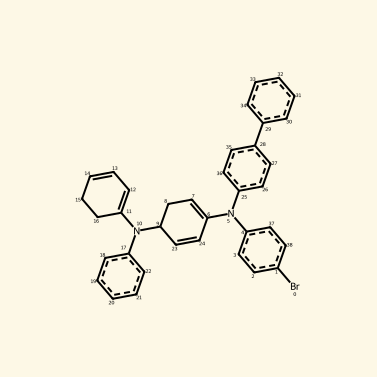 Brc1ccc(N(C2=CCC(N(C3=CC=CCC3)c3ccccc3)C=C2)c2ccc(-c3ccccc3)cc2)cc1